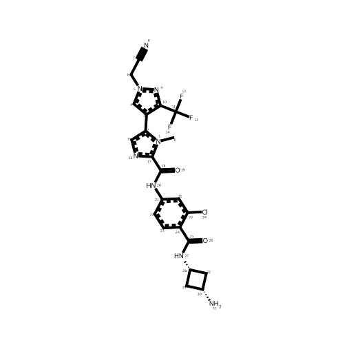 Cn1c(-c2cn(CC#N)nc2C(F)(F)F)cnc1C(=O)Nc1ccc(C(=O)N[C@H]2C[C@@H](N)C2)c(Cl)c1